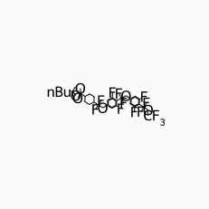 CCCCC12COC(C3CCC(C(F)(F)Oc4cc(F)c(C(F)(F)Oc5cc(F)c(C(F)(F)OC(F)(F)F)c(F)c5)c(F)c4)CC3)(OC1)O2